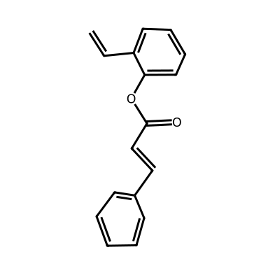 C=Cc1ccccc1OC(=O)/C=C/c1ccccc1